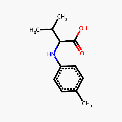 Cc1ccc(NC(C(=O)O)C(C)C)cc1